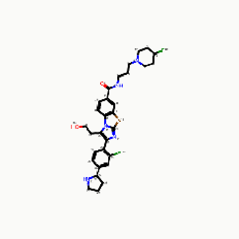 O=C(NCCCN1CCC(F)CC1)c1ccc2c(c1)sc1nc(-c3ccc([C@H]4CCCN4)cc3F)c(CCO)n12